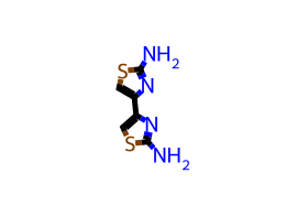 Nc1nc(-c2csc(N)n2)cs1